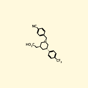 N#Cc1ccc(CN2C[C@H](CC(=O)O)C[C@@H](c3ccc(C(F)(F)F)cc3)C2)cc1